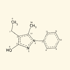 CCc1c(O)nn(-c2ccccc2)c1C